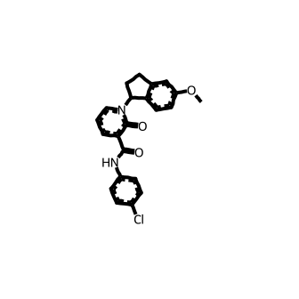 COc1ccc2c(c1)CCC2n1cccc(C(=O)Nc2ccc(Cl)cc2)c1=O